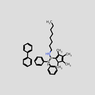 CCCCCCCC[NH][Zr]([C]1=C(C)C(C)=C(C)C1C)[SiH](c1ccccc1)c1ccccc1.c1ccc(-c2ccccc2)cc1